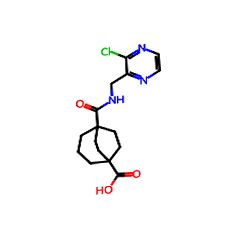 O=C(O)C12CCCC(C(=O)NCc3nccnc3Cl)(CC1)CC2